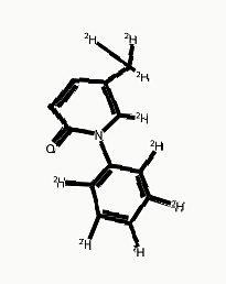 [2H]c1c([2H])c([2H])c(-n2c([2H])c(C([2H])([2H])[2H])ccc2=O)c([2H])c1[2H]